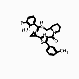 Cc1cccc(-c2sc(C3CC3)nc2C(=O)N2CCCCC2CNC(=O)c2cccc(F)c2C)c1